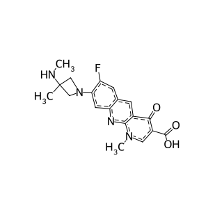 CNC1(C)CN(c2cc3nc4c(cc3cc2F)c(=O)c(C(=O)O)cn4C)C1